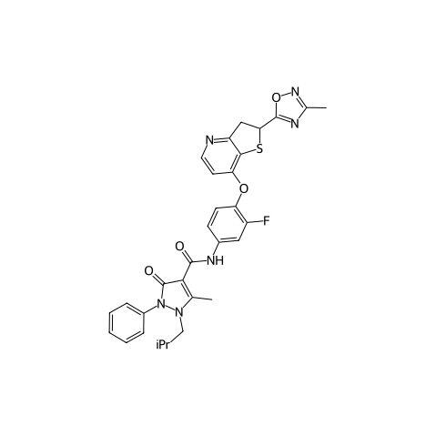 Cc1noc(C2Cc3nccc(Oc4ccc(NC(=O)c5c(C)n(CC(C)C)n(-c6ccccc6)c5=O)cc4F)c3S2)n1